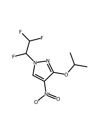 CC(C)Oc1nn(C(F)C(F)F)cc1[N+](=O)[O-]